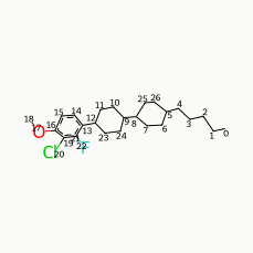 CCCCCC1CCC(C2CCC(c3ccc(OC)c(Cl)c3F)CC2)CC1